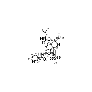 CC(C)CNS(=O)(=O)c1cc2c(c3cnc(C4CC4)cc13)[C@H](NS(C)(=O)=O)C[C@H]2NC(=O)c1cccnc1